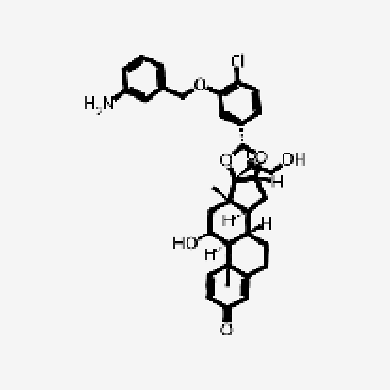 C[C@]12C=CC(=O)C=C1CC[C@@H]1[C@@H]2[C@@H](O)C[C@@]2(C)[C@H]1C[C@H]1O[C@@H](c3ccc(Cl)c(OCc4cccc(N)c4)c3)O[C@]12C(=O)CO